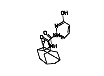 NC(=O)[C@]12CC3CC(C1)[C@@H](NC(=O)c1cccc(O)n1)C(C3)C2